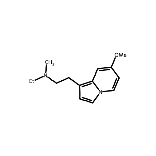 CCN(C)CCc1ccn2ccc(OC)cc12